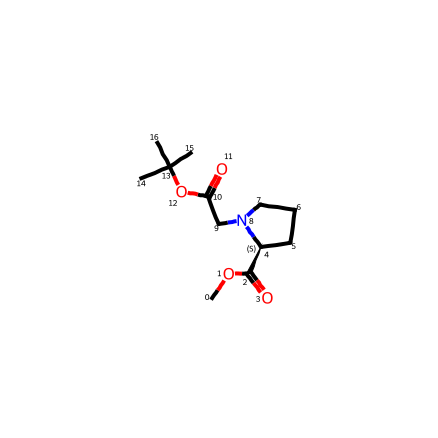 COC(=O)[C@@H]1CCCN1CC(=O)OC(C)(C)C